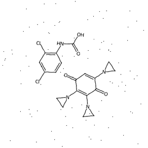 O=C(O)Nc1ccc(Cl)cc1Cl.O=C1C=C(N2CC2)C(=O)C(N2CC2)=C1N1CC1